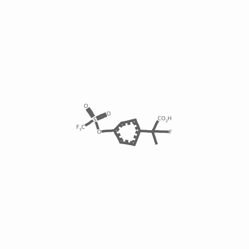 CC(F)(C(=O)O)c1ccc(OS(=O)(=O)C(F)(F)F)cc1